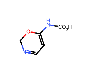 O=C(O)NC1=CC=NCO1